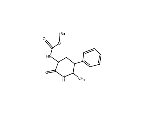 CC1NC(=O)C(NC(=O)OC(C)(C)C)CC1c1ccccc1